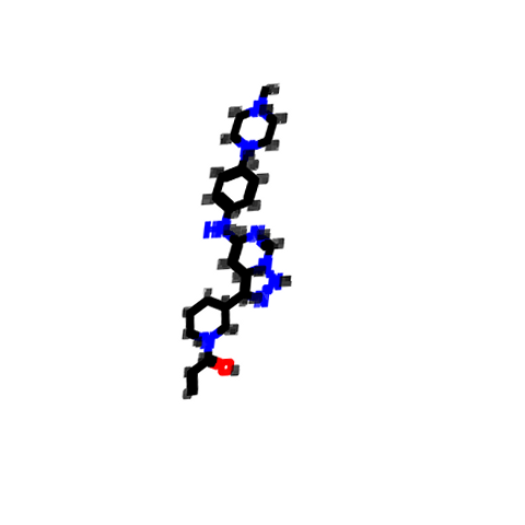 C=CC(=O)N1CCCC(c2nnn3cnc(Nc4ccc(N5CCN(C)CC5)cc4)cc23)C1